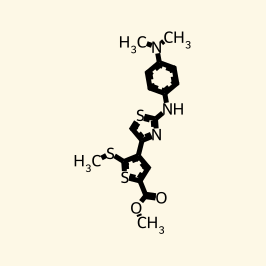 COC(=O)c1cc(-c2csc(Nc3ccc(N(C)C)cc3)n2)c(SC)s1